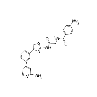 Nc1ccc(C(=O)NCC(=O)Nc2nc(-c3cccc(-c4ccnc(N)c4)c3)cs2)cc1